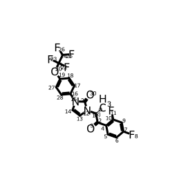 C[C@H](C(=O)c1ccc(F)cc1F)n1ccn(-c2ccc(OC(F)(F)C(F)F)cc2)c1=O